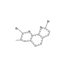 Cc1cc2ccc3ccc(Br)nc3c2nc1Br